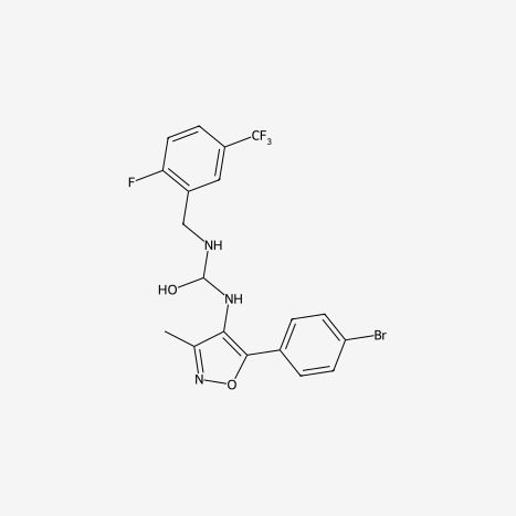 Cc1noc(-c2ccc(Br)cc2)c1NC(O)NCc1cc(C(F)(F)F)ccc1F